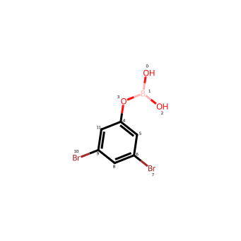 OB(O)Oc1cc(Br)cc(Br)c1